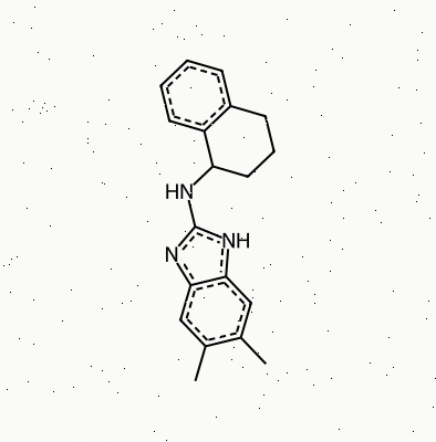 Cc1cc2nc(NC3CCCc4ccccc43)[nH]c2cc1C